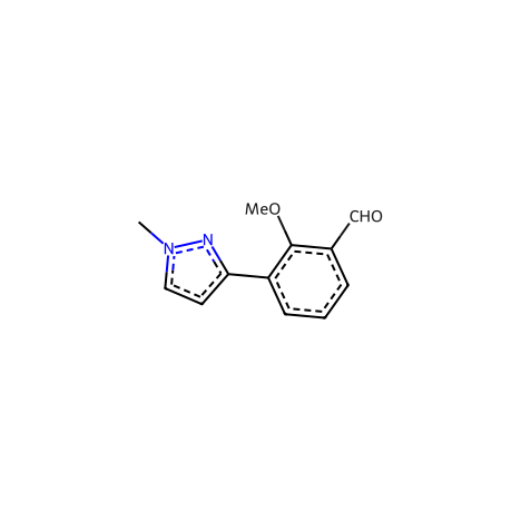 COc1c(C=O)cccc1-c1ccn(C)n1